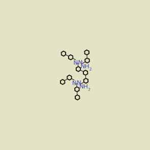 N/C(=N\C(=N/Cc1cccc(-c2ccccc2)c1)c1ccc(-c2ccccc2)cc1)c1cccc(-c2cccc(-c3cccc(C(/N=C(\N)c4cccc(-c5ccccc5)c4)=N/Cc4ccc(-c5ccccc5)cc4)c3)c2)c1